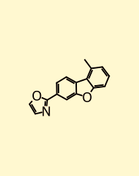 Cc1cccc2oc3cc(-c4ncco4)ccc3c12